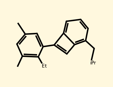 CCc1c(C)cc(C)cc1C1=Cc2c(CC(C)C)cccc21